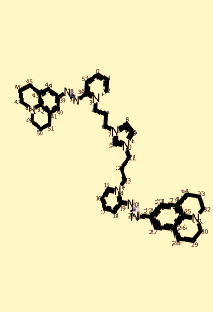 c1cc[n+](CCCn2cc[n+](CCC[n+]3ccccc3/N=N/c3cc4c5c(c3)CCCN5CCC4)c2)c(/N=N/c2cc3c4c(c2)CCCN4CCC3)c1